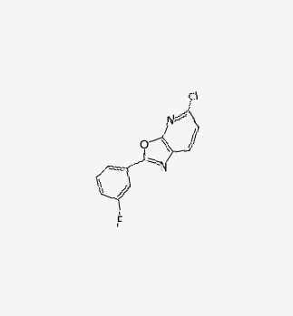 Fc1cccc(-c2nc3ccc(Cl)nc3o2)c1